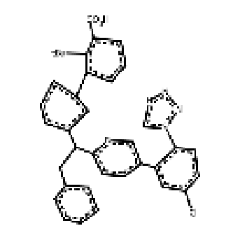 CC(C)(C)c1c(C(=O)O)cccc1-c1cccc(C(Cc2ccccc2)c2ccc(-c3cc(Cl)ccc3-n3cnnn3)cn2)c1